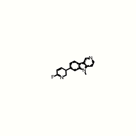 Cn1c2ccncc2c2ccc(C3C=CC(F)=NC3)cc21